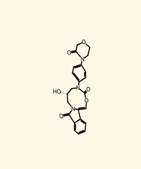 O=C1c2ccccc2C2=COC(=O)N(c3ccc(N4CCOCC4=O)cc3)C[C@@H](O)CN12